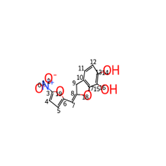 O=[N+]([O-])c1ccc(C=C2Cc3ccc(O)c(O)c3O2)o1